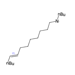 CCCC/C=C/CCCCCCC[N]CCCC